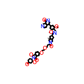 COc1cc(-c2cn(C)c(=O)c3cnccc23)cc(OC)c1CN(C)CC1CC2CN(C(=O)CCOCCOc3ccc4c(c3)C(=O)N(C3CCC(=O)CC3=O)C4=O)C[C@@]2(C)C1